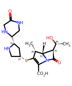 C[C@@H](O)[C@H]1C(=O)N2C(C(=O)O)=C(S[C@@H]3CN[C@H](C4CNC(=O)CN4)C3)[C@H](C)[C@H]12